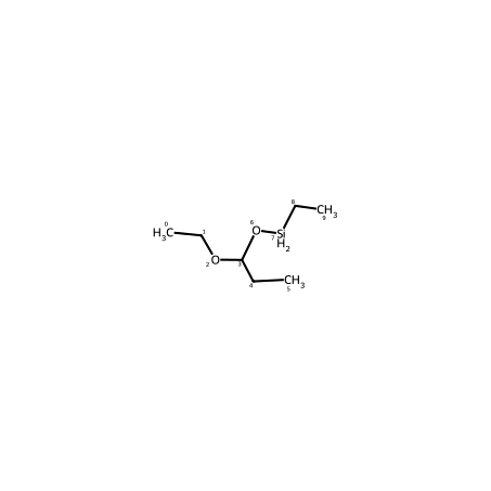 CCOC(CC)O[SiH2]CC